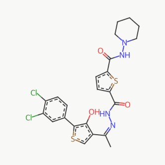 CC(=NNC(=O)c1ccc(C(=O)NN2CCCCC2)s1)c1csc(-c2ccc(Cl)c(Cl)c2)c1O